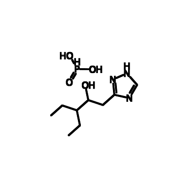 CCC(CC)C(O)Cc1nc[nH]n1.O=[PH](O)O